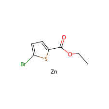 CCOC(=O)c1ccc(Br)s1.[Zn]